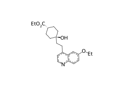 CCOc1ccc2nccc(CC[C@]3(O)CC[C@H](C(=O)OCC)CC3)c2c1